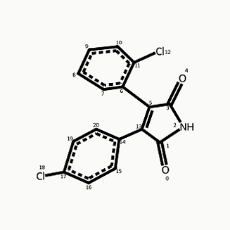 O=C1NC(=O)C(c2ccccc2Cl)=C1c1ccc(Cl)cc1